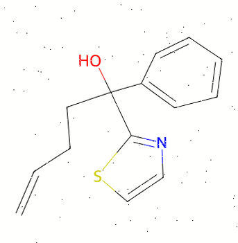 C=CCCC(O)(c1ccccc1)c1nccs1